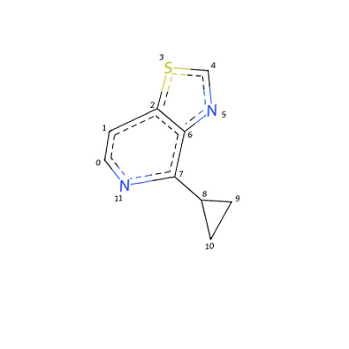 c1cc2scnc2c(C2CC2)n1